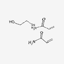 C=CC(N)=O.C=CC(N)=O.OCCO